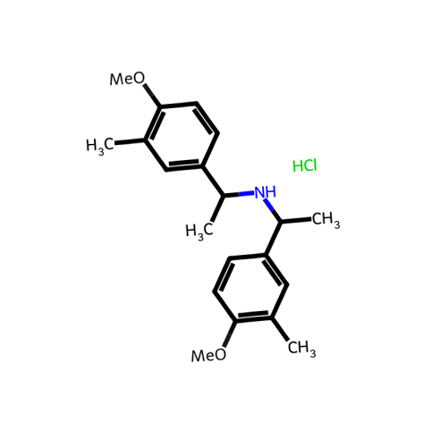 COc1ccc(C(C)NC(C)c2ccc(OC)c(C)c2)cc1C.Cl